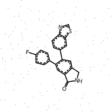 O=C1NCc2cc(-c3ccc4ncsc4c3)c(-c3ccc(F)cc3)cc21